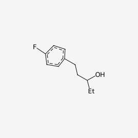 CCC(O)CCc1ccc(F)cc1